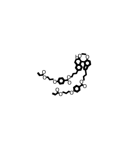 C=CC(=O)OCCCOc1ccc(C(=O)OCCCc2ccc3c(c2)=CC[C@@H]2OCCOc4ccc5cc(CCCOC(=O)c6ccc(OCCCOC(=O)C=C)cc6)ccc5c4C=32)cc1